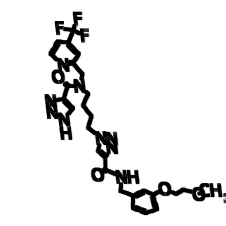 COCCOc1cccc(CNC(=O)c2cn(CCCCN(Cc3cc(C(F)(F)F)ccn3)C(=O)c3c[nH]nn3)nn2)c1